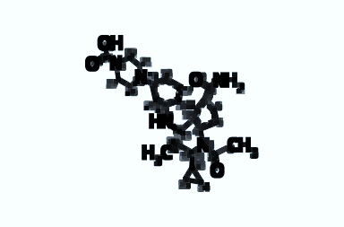 CC(=O)N1c2ccc(C(N)=O)cc2[C@H](Nc2cccc(N3CCN(C(=O)O)CC3)c2)[C@@H](C)[C@@H]1C1CC1